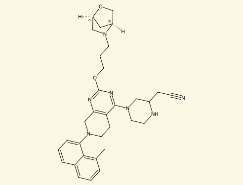 Cc1cccc2cccc(N3CCc4c(nc(OCCCN5C[C@@H]6C[C@H]5CO6)nc4N4CCNC(CC#N)C4)C3)c12